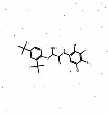 CCCCC(Oc1ccc(C(C)(C)CC)cc1C(C)(C)CC)C(=O)Nc1cc(Cl)c(CC)c(Cl)c1O